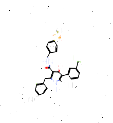 Cc1[nH]c(Cc2ccc(C#N)cc2F)c(C(=O)NCc2ccc(S(C)(=O)=O)cc2)c(=O)c1-c1cccc(C(F)F)c1